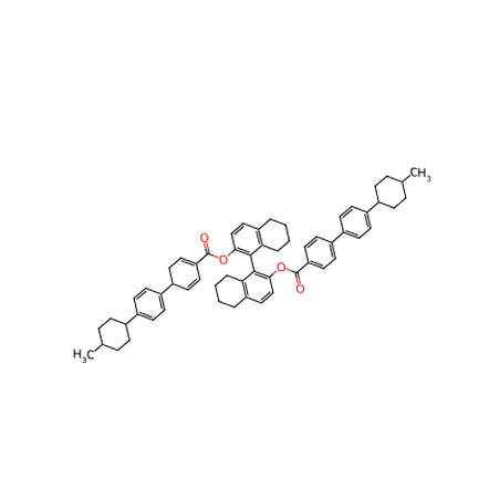 CC1CCC(c2ccc(-c3ccc(C(=O)Oc4ccc5c(c4-c4c(OC(=O)C6=CCC(c7ccc(C8CCC(C)CC8)cc7)C=C6)ccc6c4CCCC6)CCCC5)cc3)cc2)CC1